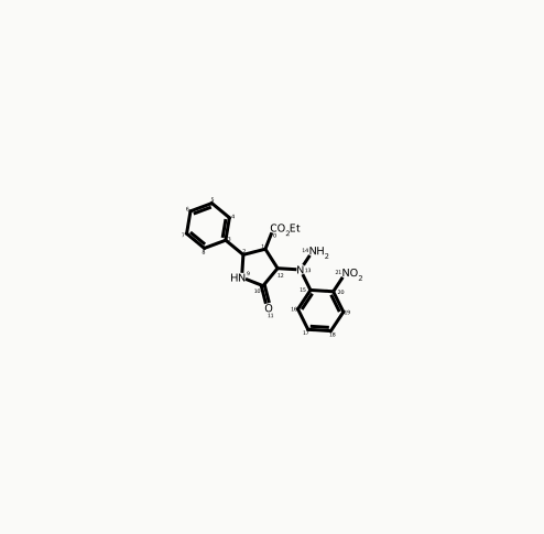 CCOC(=O)C1C(c2ccccc2)NC(=O)C1N(N)c1ccccc1[N+](=O)[O-]